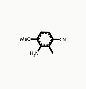 COc1ccc(C#N)c(C)c1N